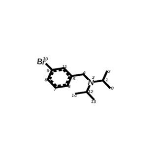 CC(C)N(Cc1cccc(Br)c1)C(C)C